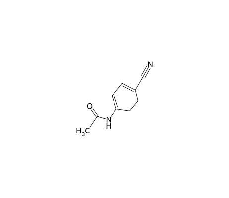 CC(=O)NC1=CC=C(C#N)CC1